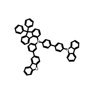 c1ccc(C2(c3ccccc3)c3ccccc3-c3c(N(c4ccc(-c5ccc(-n6c7ccccc7c7ccccc76)cc5)cc4)c4cccc(-c5ccc6oc7ccccc7c6c5)c4)cccc32)cc1